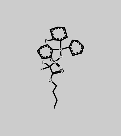 O=C(OCCCI)C(F)(F)S(=O)(=O)OS(c1ccccc1)(c1ccccc1)c1ccccc1F